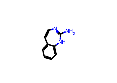 NC1=NC=Cc2ccccc2N1